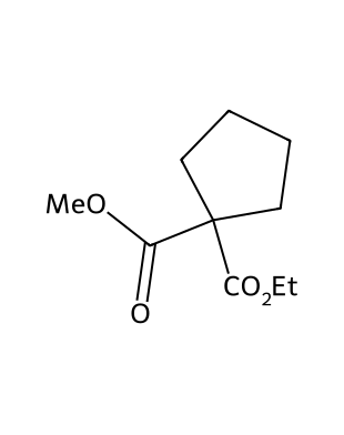 CCOC(=O)C1(C(=O)OC)CCCC1